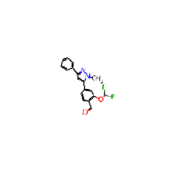 Cn1nc(-c2ccccc2)cc1-c1ccc(C=O)c(OC(F)F)c1